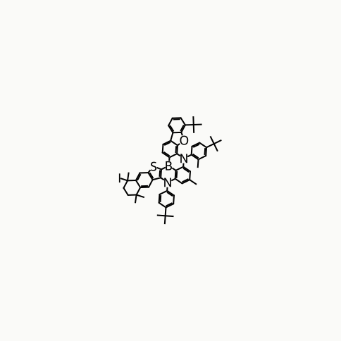 Cc1cc2c3c(c1)N(c1ccc(C(C)(C)C)cc1C)c1c(ccc4c1oc1c(C(C)(C)C)cccc14)B3c1sc3cc4c(cc3c1N2c1ccc(C(C)(C)C)cc1)C(C)(C)CCC4(C)I